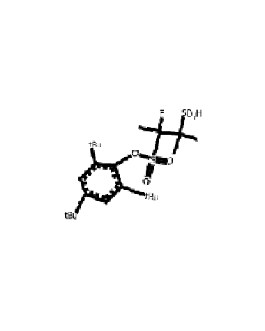 CC(C)(C)c1cc(C(C)(C)C)c(OS(=O)(=O)C(C)(F)C(C)(C)S(=O)(=O)O)c(C(C)(C)C)c1